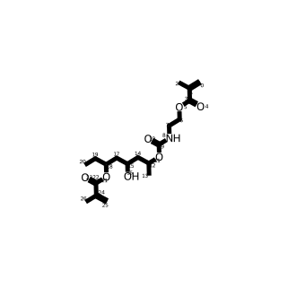 C=C(C)C(=O)OCCNC(=O)OC(C)CC(O)CC(CC)OC(=O)C(=C)C